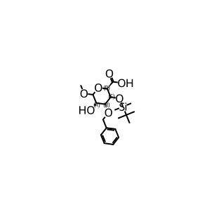 COC1O[C@@H](C(=O)O)[C@@H](O[Si](C)(C)C(C)(C)C)[C@H](OCc2ccccc2)[C@H]1O